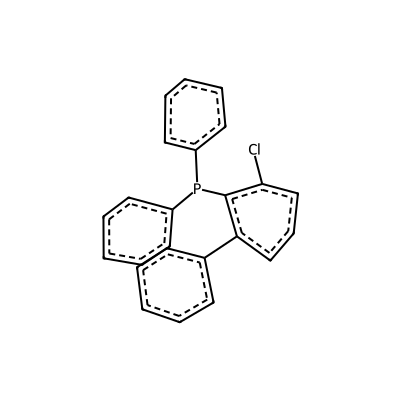 Clc1cccc(-c2ccccc2)c1P(c1ccccc1)c1ccccc1